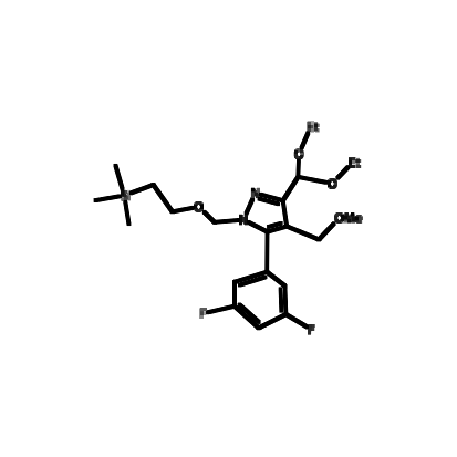 CCOC(OCC)c1nn(COCC[Si](C)(C)C)c(-c2cc(F)cc(F)c2)c1COC